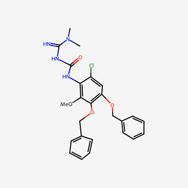 COc1c(NC(=O)NC(=N)N(C)C)c(Cl)cc(OCc2ccccc2)c1OCc1ccccc1